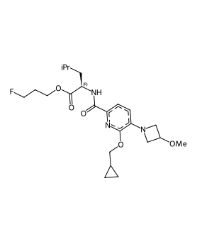 COC1CN(c2ccc(C(=O)N[C@H](CC(C)C)C(=O)OCCCF)nc2OCC2CC2)C1